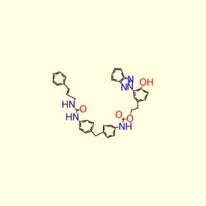 O=C(NC/C=C/c1ccccc1)Nc1ccc(Cc2ccc(NC(=O)OCCc3ccc(O)c(-n4nc5ccccc5n4)c3)cc2)cc1